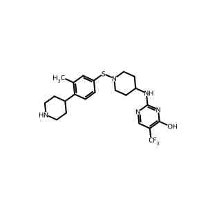 Cc1cc(SN2CCC(Nc3ncc(C(F)(F)F)c(O)n3)CC2)ccc1C1CCNCC1